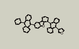 c1ccc(-c2c3ccccc3c(-c3ccc4oc5c(-c6c7ccccc7c(-c7ccoc7)c7ccccc67)cccc5c4c3)c3ccccc23)cc1